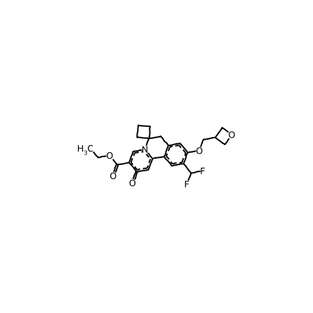 CCOC(=O)c1cn2c(cc1=O)-c1cc(C(F)F)c(OCC3COC3)cc1CC21CCC1